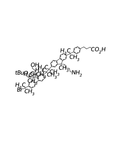 CC(C)(C)OCC(C)(C)C1(C(C)(C)CCO)c2cc(C(C)(C)Br)ccc2-c2ccc(C(C)(C)C(C)(C)c3ccc4c(c3)C(C)(CCCCN)c3cc(C(C)(C)c5ccc(CCCC(=O)O)cc5)ccc3-4)cc21